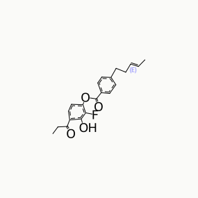 C/C=C/CCc1ccc(C(=O)Oc2ccc(C(=O)CC)c(O)c2F)cc1